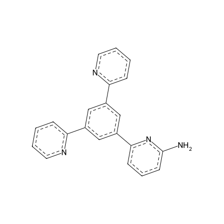 Nc1cccc(-c2cc(-c3ccccn3)cc(-c3ccccn3)c2)n1